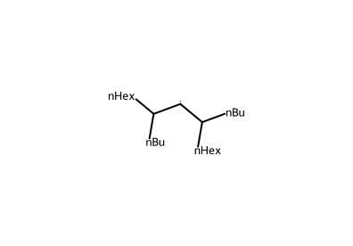 CCCCCCC([CH]C(CCCC)CCCCCC)CCCC